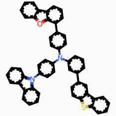 c1cc(-c2ccc3sc4ccccc4c3c2)cc(N(c2ccc(-c3cccc4c3oc3ccccc34)cc2)c2ccc(-n3c4ccccc4c4ccccc43)cc2)c1